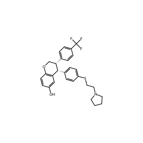 Oc1ccc2c(c1)[C@@H](c1ccc(SCCN3CCCC3)cc1)[C@@H](c1ccc(C(F)(F)F)cc1)CO2